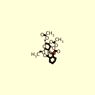 CCO[C@H]1O[C@H](COC(C)=O)[C@@H](OC(C)=O)[C@H](OC(C)=O)[C@@H]1N1C(=O)c2ccccc2C1=O